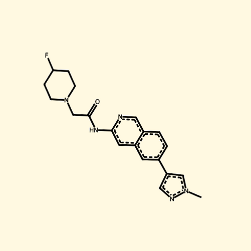 Cn1cc(-c2ccc3cnc(NC(=O)CN4CCC(F)CC4)cc3c2)cn1